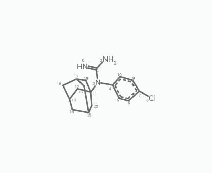 N=C(N)N(c1ccc(Cl)cc1)C12CC3CC(CC(C3)C1)C2